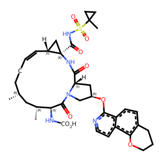 C[C@@H]1CCC=C[C@@H]2C[C@@]2(C(=O)NS(=O)(=O)C2(C)CC2)NC(=O)[C@@H]2C[C@@H](Oc3nccc4c5c(ccc34)CCCO5)CN2C(=O)[C@@H](NC(=O)O)[C@H](C)C1